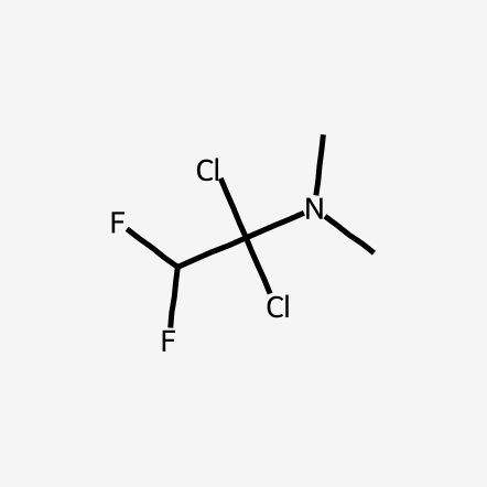 CN(C)C(Cl)(Cl)C(F)F